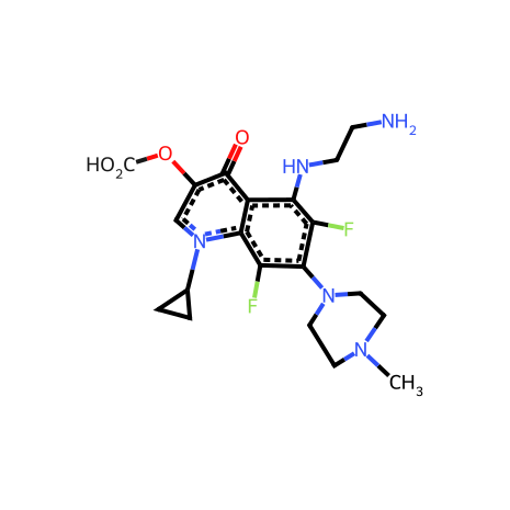 CN1CCN(c2c(F)c(NCCN)c3c(=O)c(OC(=O)O)cn(C4CC4)c3c2F)CC1